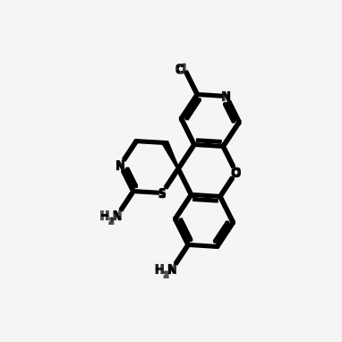 NC1=NCC[C@]2(S1)c1cc(N)ccc1Oc1cnc(Cl)cc12